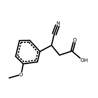 COc1cccc(C(C#N)CC(=O)O)c1